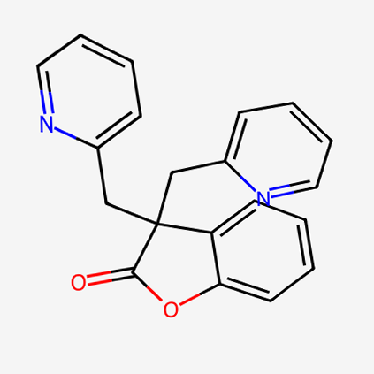 O=C1Oc2ccccc2C1(Cc1ccccn1)Cc1ccccn1